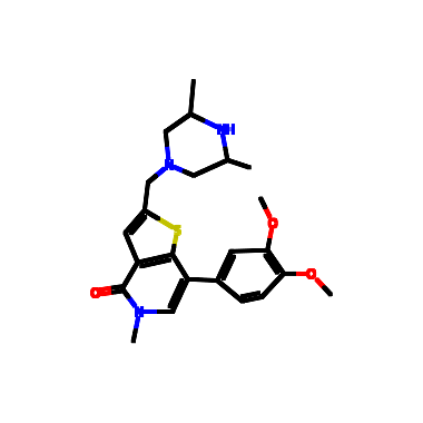 COc1ccc(-c2cn(C)c(=O)c3cc(CN4CC(C)NC(C)C4)sc23)cc1OC